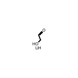 O=CCO.[LiH]